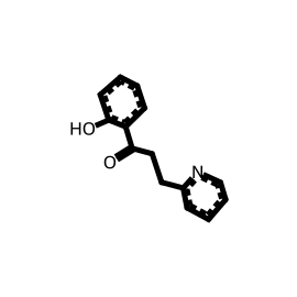 O=C(CCc1ccccn1)c1ccccc1O